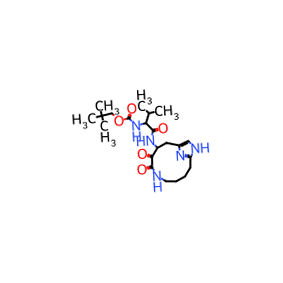 CC(C)C(NC(=O)OCC(C)(C)C)C(=O)NC1Cc2c[nH]c(n2)CCCCNC(=O)C1=O